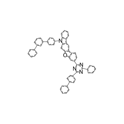 c1ccc(-c2ccc(-c3nc(-c4ccccc4)nc(-c4ccc5c(c4)oc4cc6c(cc45)c4ccccc4n6-c4ccc(-c5cccc(-c6ccccc6)c5)cc4)n3)cc2)cc1